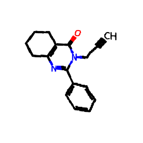 C#CCn1c(-c2ccccc2)nc2c(c1=O)CCCC2